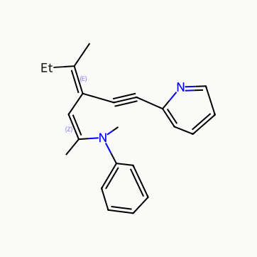 CC/C(C)=C(C#Cc1ccccn1)\C=C(\C)N(C)c1ccccc1